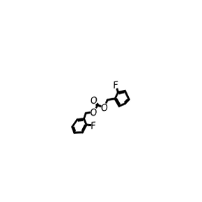 O=C(OCc1ccccc1F)OCc1ccccc1F